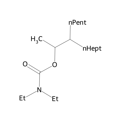 CCCCCCCC(CCCCC)C(C)OC(=O)N(CC)CC